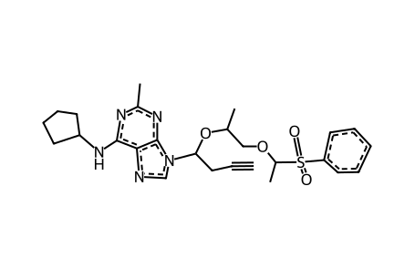 C#CCC(OC(C)COC(C)S(=O)(=O)c1ccccc1)n1cnc2c(NC3CCCC3)nc(C)nc21